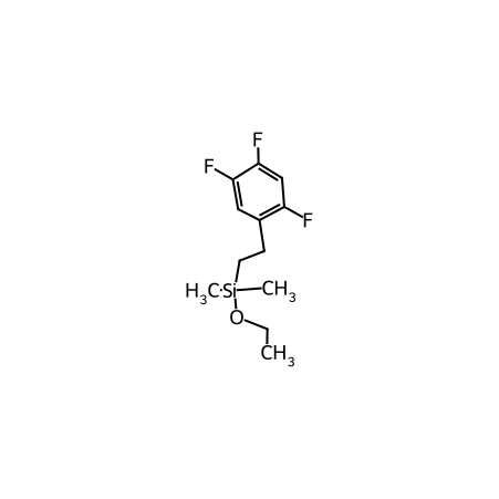 CCO[Si](C)(C)CCc1cc(F)c(F)cc1F